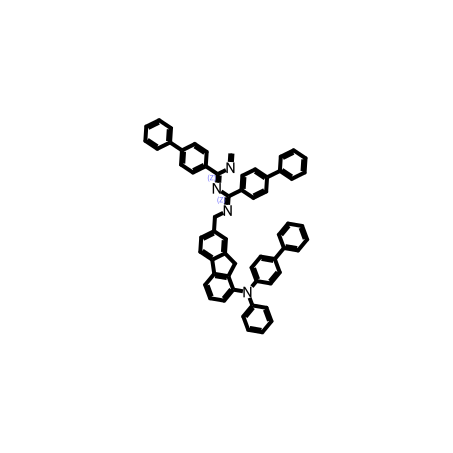 C=N/C(=N\C(=N/Cc1ccc2c(c1)Cc1c-2cccc1N(c1ccccc1)c1ccc(-c2ccccc2)cc1)c1ccc(-c2ccccc2)cc1)c1ccc(-c2ccccc2)cc1